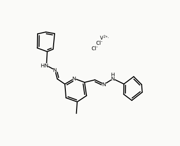 Cc1cc(C=NNc2ccccc2)nc(C=NNc2ccccc2)c1.[Cl-].[Cl-].[V+2]